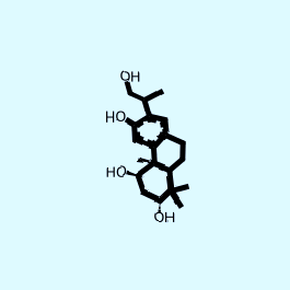 CC(CO)c1cc2c(cc1O)[C@]1(C)C(CC2)C(C)(C)[C@H](O)C[C@H]1O